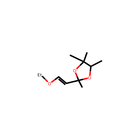 CCOC=CC1(C)OC(C)C(C)(C)O1